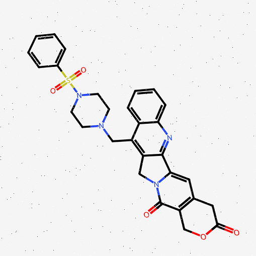 O=C1Cc2cc3n(c(=O)c2CO1)Cc1c-3nc2ccccc2c1CN1CCN(S(=O)(=O)c2ccccc2)CC1